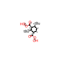 CC(C)(C)c1ccc(C(=O)OO)c(C(C)(C)C)c1C(=O)OO